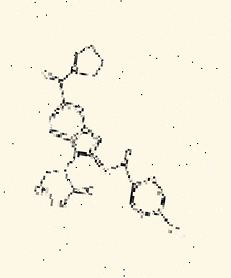 CCC(C(=O)O)n1c(=NC(=O)c2ccc(C)cc2)sc2cc(C(=O)N3CCCC3)ccc21